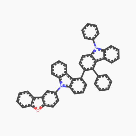 c1ccc(-c2c(-c3cccc4c3c3ccccc3n4-c3ccc4oc5ccccc5c4c3)ccc3c2c2ccccc2n3-c2ccccc2)cc1